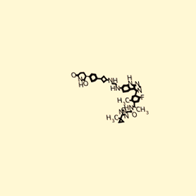 Cc1cc(-c2ncnc3[nH]c4cc(NCCNC5CC(c6ccc([C@@H]7CCC(=O)NC7=O)cc6)C5)ccc4c23)c(F)cc1[C@@H](C)NC(=O)c1nc(C2(C)CC2)no1